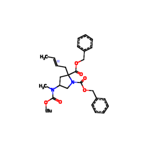 C/C=C/CC1(C(=O)OCc2ccccc2)CC(N(C)C(=O)OC(C)(C)C)CN1C(=O)OCc1ccccc1